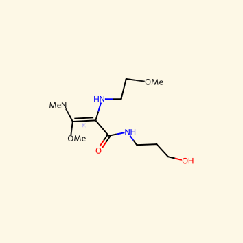 CN/C(OC)=C(\NCCOC)C(=O)NCCCO